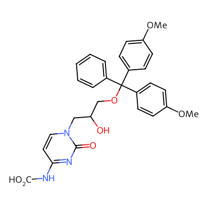 COc1ccc(C(OCC(O)Cn2ccc(NC(=O)O)nc2=O)(c2ccccc2)c2ccc(OC)cc2)cc1